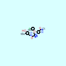 CCNC(=O)c1ccc(-n2nnc(C(=O)NCc3cc(C(C)(C)C)c(O)c(C(C)(C)C)c3)c2COc2cccc(F)c2)cc1